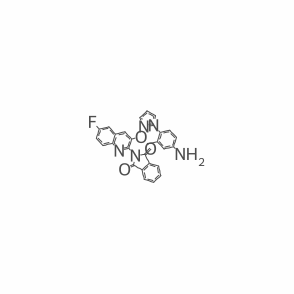 Nc1ccc(-n2cccn2)c(COc2cc3cc(F)ccc3nc2N2C(=O)c3ccccc3C2=O)c1